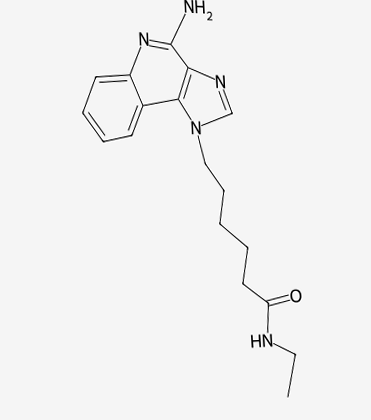 CCNC(=O)CCCCCn1cnc2c(N)nc3ccccc3c21